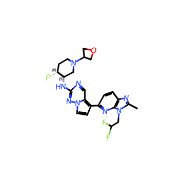 Cc1nc2ccc(-c3ccn4nc(N[C@H]5CN(C6COC6)CC[C@H]5F)ncc34)nc2n1CC(F)F